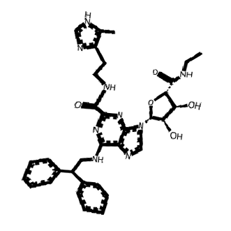 CCNC(=O)[C@H]1O[C@@H](n2cnc3c(NCC(c4ccccc4)c4ccccc4)nc(C(=O)NCCc4nc[nH]c4C)nc32)[C@H](O)[C@@H]1O